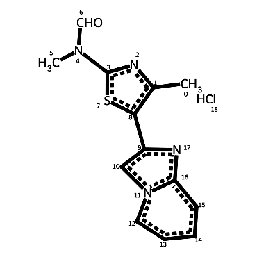 Cc1nc(N(C)C=O)sc1-c1cn2ccccc2n1.Cl